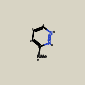 CNc1cc[c]nn1